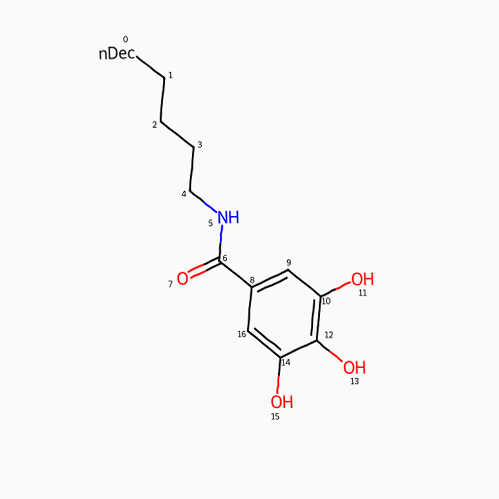 CCCCCCCCCCCCCCNC(=O)c1cc(O)c(O)c(O)c1